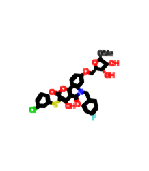 CO[C@@H]1O[C@H](COc2ccc3c4oc(=O)c(Sc5cccc(Cl)c5)c(O)c4c(=O)n(Cc4ccc(F)cc4)c3c2)[C@@H](O)[C@H]1O